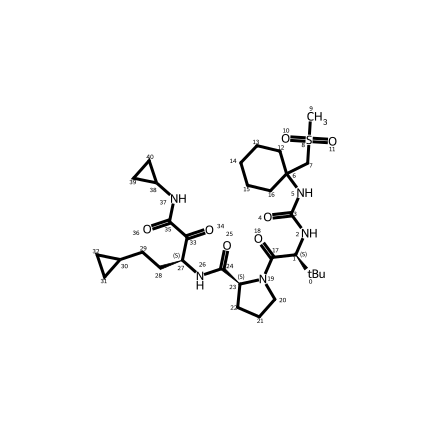 CC(C)(C)[C@H](NC(=O)NC1(CS(C)(=O)=O)CCCCC1)C(=O)N1CCC[C@H]1C(=O)N[C@@H](CCC1CC1)C(=O)C(=O)NC1CC1